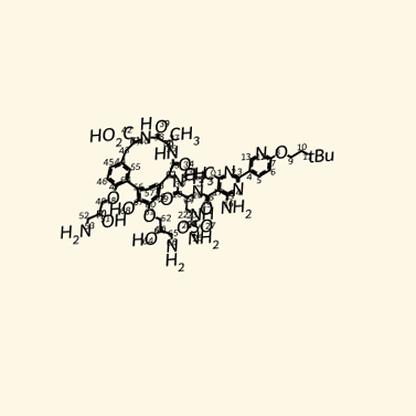 Cc1nc(-c2ccc(OCCC(C)(C)C)nc2)nc(N)c1C(=O)N[C@@H](CNS(N)(=O)=O)C(=O)N(C)[C@@H]1C(=O)N[C@@H](C)C(=O)N[C@H](C(=O)O)Cc2ccc(OC[C@H](O)CN)c(c2)-c2cc1cc(OC[C@H](O)CN)c2O